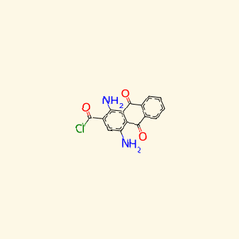 Nc1cc(C(=O)Cl)c(N)c2c1C(=O)c1ccccc1C2=O